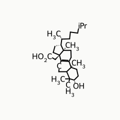 CC(C)CCC[C@@H](C)[C@H]1CC[C@@]2(CC(=O)O)C3=C(CC[C@]12C)[C@@]1(C)CC[C@H](O)C(C)(C)C1CC3